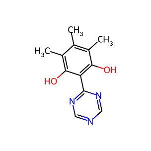 Cc1c(C)c(O)c(-c2ncncn2)c(O)c1C